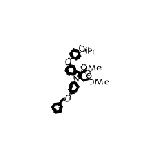 COC(=O)Cc1c(C(=O)OC)c2cc(Oc3ccc(OC(C)C)cc3)ccc2n1-c1ccc(OCc2ccccc2)cc1